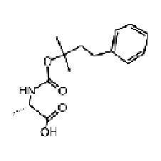 C[C@H](NC(=O)OC(C)(C)CCc1ccccc1)C(=O)O